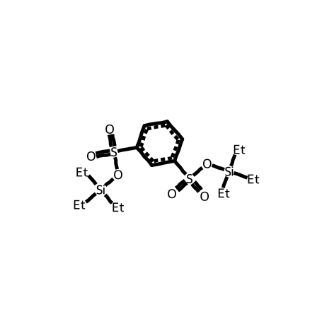 CC[Si](CC)(CC)OS(=O)(=O)c1cccc(S(=O)(=O)O[Si](CC)(CC)CC)c1